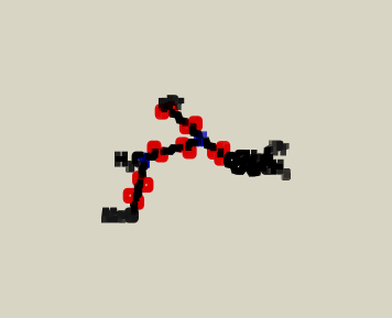 CCCC(=O)OCCCCOC(=O)CCN(CCCOC(=O)OC1CC[C@@]2(C)C(CCC3C2CC[C@@]2(C)C3CCC2[C@H](C)CCCC(C)C)C1)CCC(=O)OCCCCOC(=O)CCN(C)CCCOC(=O)CCC(=O)OCCOC